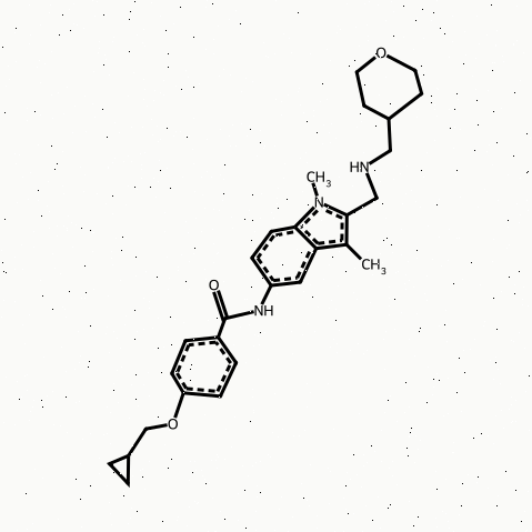 Cc1c(CNCC2CCOCC2)n(C)c2ccc(NC(=O)c3ccc(OCC4CC4)cc3)cc12